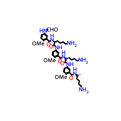 COc1ccc(NC=O)cc1C(=O)NC(CCCCN)C(=O)Nc1ccc(OC)c(C(=O)N[C@@H](CCCCN)C(=O)Nc2ccc(OC)c(C(=O)N[C@H](C)CCCCN)c2)c1